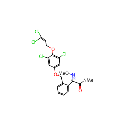 CNC(=O)/C(=N/OC)c1ccccc1COc1cc(Cl)c(OCC=C(Cl)Cl)c(Cl)c1